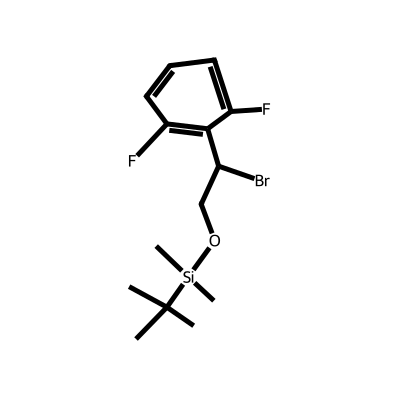 CC(C)(C)[Si](C)(C)OCC(Br)c1c(F)cccc1F